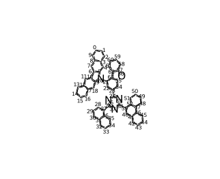 c1ccc2cc3c(cc2c1)c1cc2ccccc2cc1n3-c1cc(-c2nc(-c3cccc4ccccc34)nc(-c3cc4ccccc4c4ccccc34)n2)cc2oc3ccccc3c12